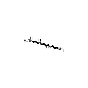 NCCCNCCCCNCCCNN